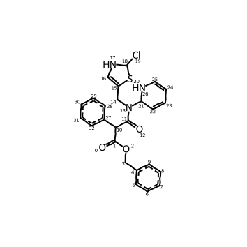 O=C(OCc1ccccc1)C(C(=O)N(CC1=CNC(Cl)S1)C1C=CC=CN1)c1ccccc1